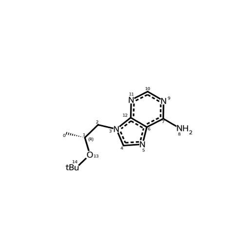 C[C@H](Cn1cnc2c(N)ncnc21)OC(C)(C)C